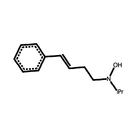 CC(C)N(O)CCC=Cc1ccccc1